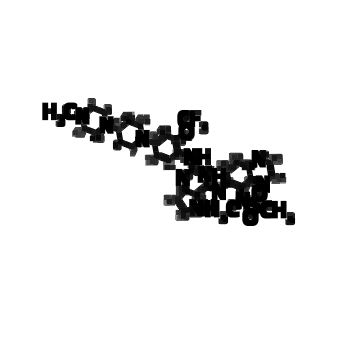 CN1CCN(C2CCN(c3ccc(Nc4nc(Nc5ccc6nccnc6c5N(C)S(C)(=O)=O)c5[nH]ccc5n4)c(OC(F)(F)F)c3)CC2)CC1